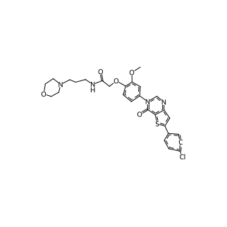 COc1cc(-n2cnc3cc(-c4ccc(Cl)cc4)sc3c2=O)ccc1OCC(=O)NCCCN1CCOCC1